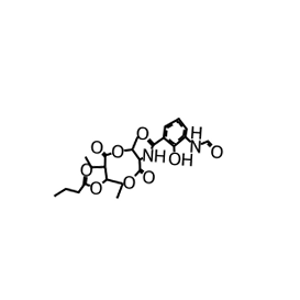 CCCC(=O)OC1C(C)OC(=O)C(NC(=O)c2cccc(NC=O)c2O)C(C)OC(=O)C1CC